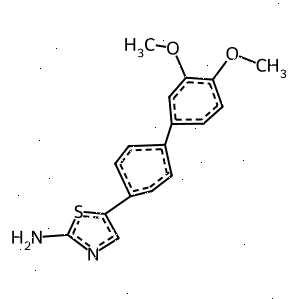 COc1ccc(-c2ccc(-c3cnc(N)s3)cc2)cc1OC